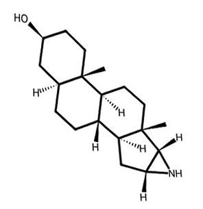 C[C@]12CC[C@H](O)C[C@@H]1CC[C@@H]1[C@@H]2CC[C@]2(C)[C@@H]3N[C@@H]3C[C@@H]12